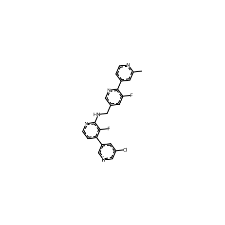 Cc1cc(-c2ncc(CNc3nccc(-c4cncc(Cl)c4)c3F)cc2F)ccn1